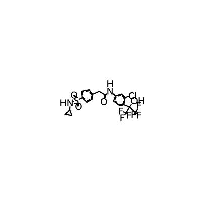 O=C(Cc1ccc(S(=O)(=O)NC2CC2)cc1)Nc1ccc(C(O)(C(F)(F)F)C(F)(F)F)c(Cl)c1